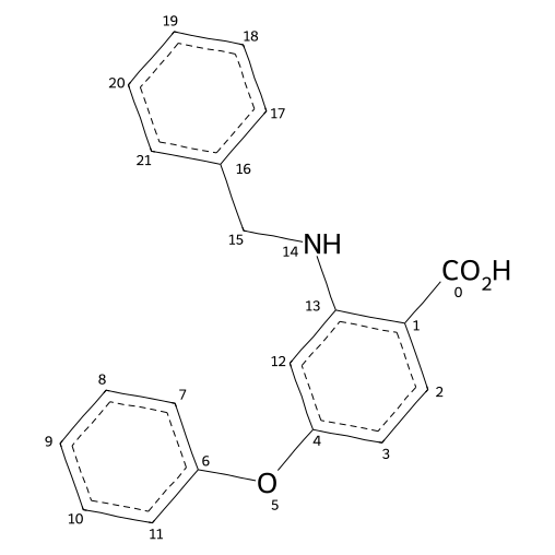 O=C(O)c1ccc(Oc2ccccc2)cc1NCc1ccccc1